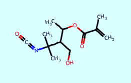 C=C(C)C(=O)OC(C)C(CO)C(C)(C)N=C=O